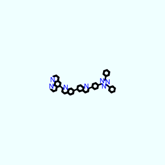 c1ccc(-c2nc(-c3ccccc3)nc(-c3ccc(-c4ccc5cc(-c6ccc7ccc(-c8cc9cccnc9c9ncccc89)nc7c6)ccc5n4)cc3)n2)cc1